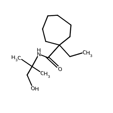 CCC1(C(=O)NC(C)(C)CO)CCCCCC1